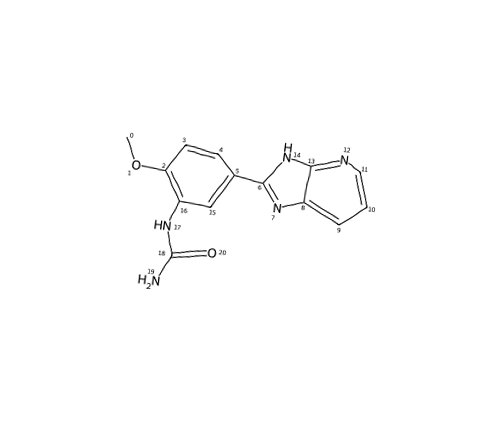 COc1ccc(-c2nc3cccnc3[nH]2)cc1NC(N)=O